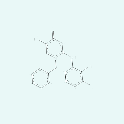 Cc1c(Cl)cccc1Nc1nc(=O)c(Br)cn1Cc1ccccc1